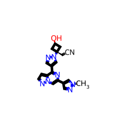 Cn1cc(-c2cn3nccc3c(-c3cnn([C@]4(CC#N)C[C@@H](O)C4)c3)n2)cn1